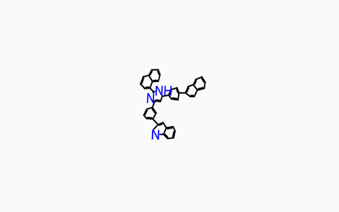 C1=C(c2cccc(-c3cnc4ccccc4c3)c2)N=C(c2cccc3ccccc23)NC1c1ccc(-c2ccc3ccccc3c2)cc1